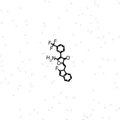 NC1=C(c2cccc(C(F)(F)F)c2)C(=O)/C(=C/C2C(F)=Cc3ccccc32)O1